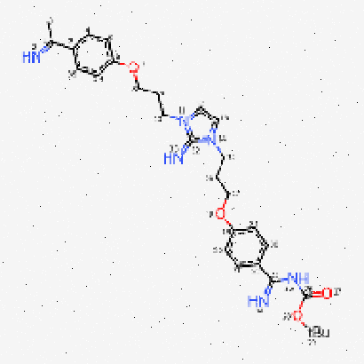 CC(=N)c1ccc(OCCCn2ccn(CCCOc3ccc(C(=N)NC(=O)OC(C)(C)C)cc3)c2=N)cc1